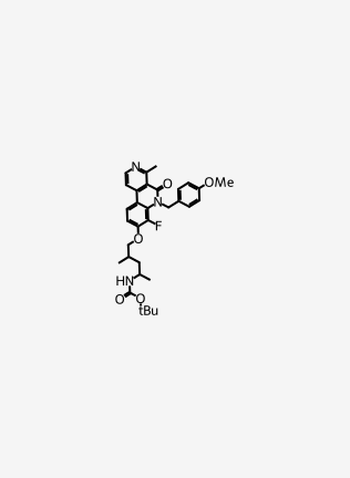 COc1ccc(Cn2c(=O)c3c(C)nccc3c3ccc(OCC(C)CC(C)NC(=O)OC(C)(C)C)c(F)c32)cc1